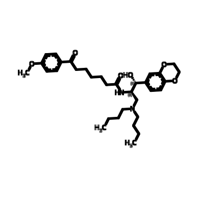 CCCCN(CCCC)C[C@@H](NC(=O)CCCCCC(=O)c1ccc(OC)cc1)[C@H](O)c1ccc2c(c1)OCCO2